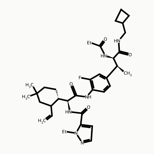 C=CC1CC(C)(C)CC[C@@H]1[C@H](NC(=O)c1ccnn1CC)C(=O)Nc1ccc([C@H](C)[C@@H](NC(=O)CC)C(=O)NCC2CCC2)cc1F